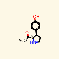 CC(=O)OC(=O)[C@H]1NCCC1c1ccc(O)cc1